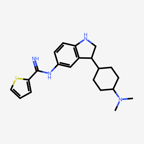 CN(C)C1CCC(C2CNc3ccc(NC(=N)c4cccs4)cc32)CC1